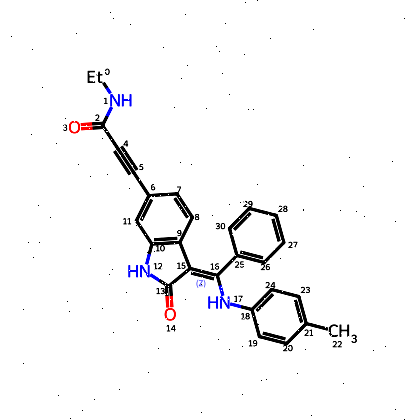 CCNC(=O)C#Cc1ccc2c(c1)NC(=O)/C2=C(\Nc1ccc(C)cc1)c1ccccc1